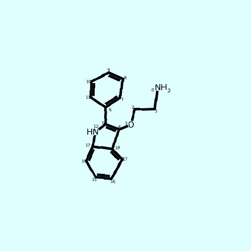 NCCOc1c(-c2ccccc2)[nH]c2ccccc12